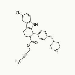 CC#CCOC(=O)N1CCc2c([nH]c3ccc(Cl)cc23)C1c1ccc(OC2CCOCC2)cc1